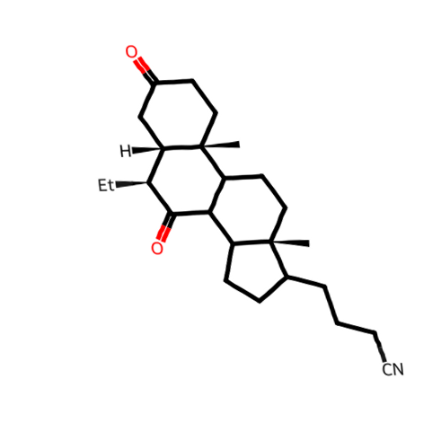 CC[C@@H]1C(=O)C2C3CCC(CCCC#N)[C@@]3(C)CCC2[C@@]2(C)CCC(=O)C[C@@H]12